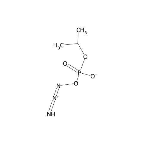 CC(C)OP(=O)([O-])ON=[N+]=N